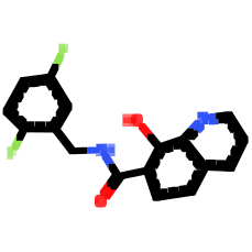 O=C(NCc1cc(F)ccc1F)c1ccc2cccnc2c1O